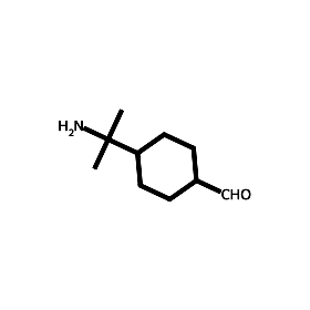 CC(C)(N)C1CCC(C=O)CC1